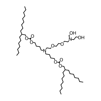 CCCCCCCCCC(CCCCCCC)COC(=O)OCCCCN(CCCCOC(=O)OCC(CCCCCCC)CCCCCCCC)CCOCCOCCN(CO)CCO